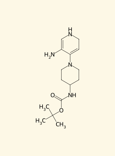 CC(C)(C)OC(=O)NC1CCN(C2=CCNC=C2N)CC1